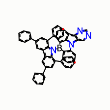 c1ccc(-c2cc(-c3ccccc3)c3c(c2)c2cc(-c4ccccc4)cc(-c4ccccc4)c2n3B2c3ccccc3-n3c4cncnc4c4cccc2c43)cc1